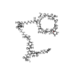 C/C=C(\C)[C@H]1OC(=O)[C@@H](C)NC(=O)[C@H](C(C)CC)NC(=O)CN(C)C(=O)[C@@H](Cc2ccccc2)N(C)C(=O)[C@H](C)NC(=O)[C@@H](CC(C)C)OC(=O)/C(C)=C/C[C@H](OC(=O)NCCCCCCCOP(=O)(O)OP(=O)(O)OCCCCCNC(=O)OCc2ccc(NC(=O)[C@@H](CCCNC(N)=O)NC(=O)[C@H](NC(=O)CCCCCN=[N+]=[N-])C(C)C)cc2)[C@@H]1C